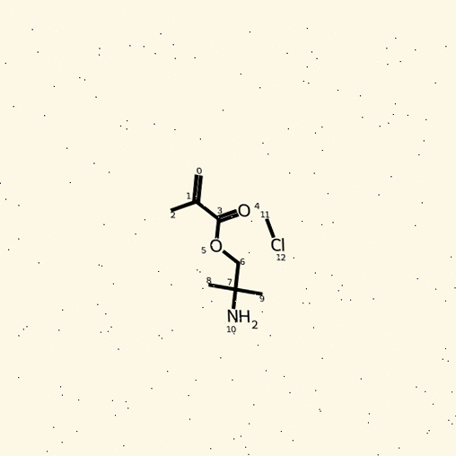 C=C(C)C(=O)OCC(C)(C)N.CCl